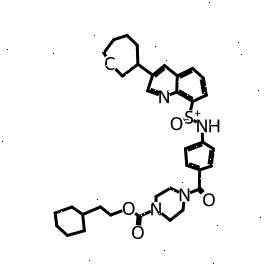 O=C(OCCC1CCCCC1)N1CCN(C(=O)c2ccc(N[S+]([O-])c3cccc4cc(C5CCCCCC5)cnc34)cc2)CC1